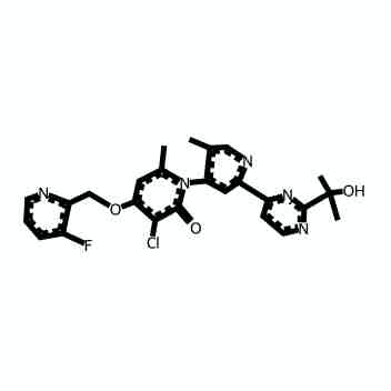 Cc1cnc(-c2ccnc(C(C)(C)O)n2)cc1-n1c(C)cc(OCc2ncccc2F)c(Cl)c1=O